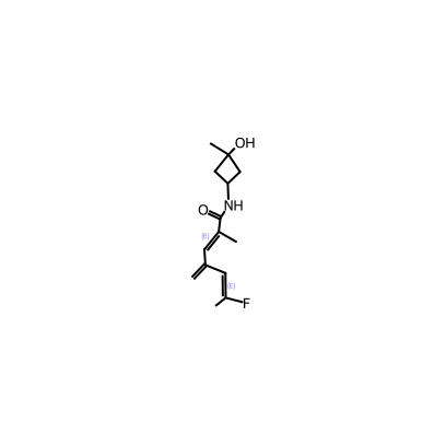 C=C(/C=C(\C)F)/C=C(\C)C(=O)NC1CC(C)(O)C1